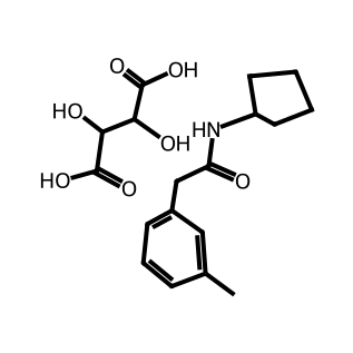 Cc1cccc(CC(=O)NC2CCCC2)c1.O=C(O)C(O)C(O)C(=O)O